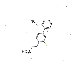 N#CCc1ccccc1-c1ccc(CCC(=O)O)c(F)c1